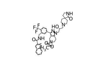 CS(=O)(=O)N1CCc2c(c(-c3ccc(C(F)(F)F)c(CNC(=O)c4cc5ccccc5s4)c3)nn2CC(O)CN2CCC3(CCNC3=O)CC2)C1